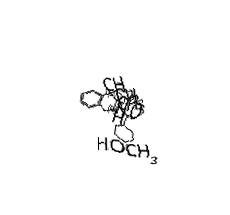 CC1(O)CCC(C(=O)N2CC[C@@]3(C)c4ccccc4C[C@@H]2C3(C)C)CC1